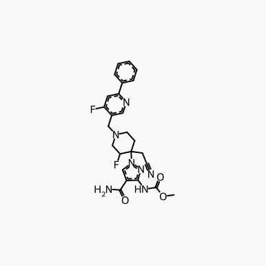 COC(=O)Nc1nn(C2(CC#N)CCN(Cc3cnc(-c4ccccc4)cc3F)CC2F)cc1C(N)=O